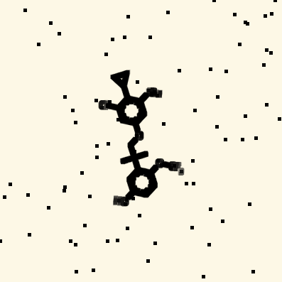 CC(C)(C)c1cc(OCC(C)(C)c2cc(O)ccc2OC(F)(F)F)cc(Cl)c1C1CC1